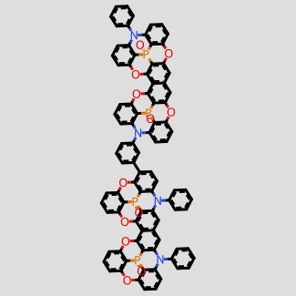 O=P12c3c4cccc3N(c3ccccc3)c3cccc(c31)Oc1c2c(cc2cc3c5c(c12)Oc1cccc2c1P5(=O)c1c(cccc1N2c1cccc(-c2ccc5c6c2Oc2cccc7c2P6(=O)c2c(cc6cc8c9c(c6c2O7)Oc2cccc6c2P9(=O)c2c(cccc2N8c2ccccc2)O6)N5c2ccccc2)c1)O3)O4